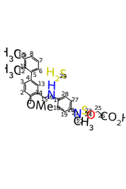 COc1ccc(-c2cccc(C)c2C)cc1CNc1ccc(N(C)SOCC(=O)O)cc1.S